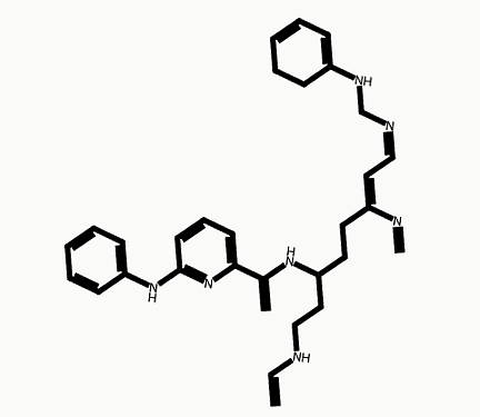 C=CNCCC(CC/C(=C/C=N\CNC1=CC=CCC1)N=C)NC(=C)c1cccc(Nc2ccccc2)n1